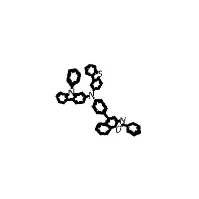 c1ccc(-c2nc3cc(-c4ccc(N(c5ccc6sc7ccccc7c6c5)c5ccc6c7ccccc7n(-c7ccccc7)c6c5)cc4)c4ccccc4c3o2)cc1